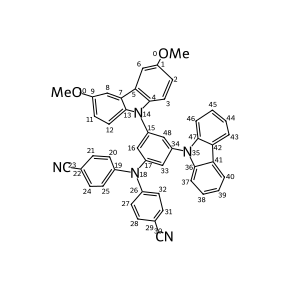 COc1ccc2c(c1)c1cc(OC)ccc1n2-c1cc(N(c2ccc(C#N)cc2)c2ccc(C#N)cc2)cc(-n2c3ccccc3c3ccccc32)c1